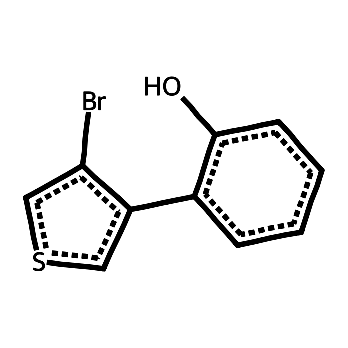 Oc1ccccc1-c1cscc1Br